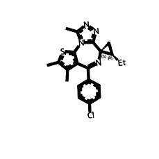 CC[C@@H]1C[C@]12N=C(c1ccc(Cl)cc1)c1c(sc(C)c1C)-n1c(C)nnc12